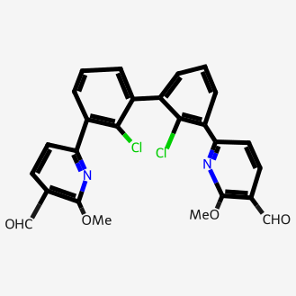 COc1nc(-c2cccc(-c3cccc(-c4ccc(C=O)c(OC)n4)c3Cl)c2Cl)ccc1C=O